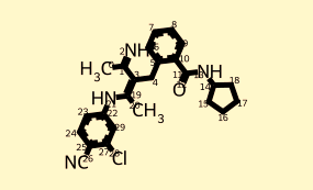 CC(=N)/C(Cc1ccccc1C(=O)NC1CCCC1)=C(/C)Nc1ccc(C#N)c(Cl)c1